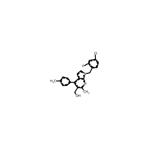 Cc1ccc(-c2c(CO)c(C)nc3c2ccn3Cc2ccc(Cl)cc2F)cc1